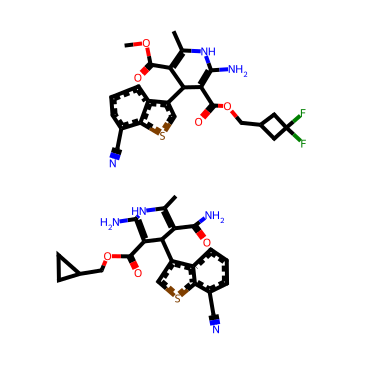 CC1=C(C(N)=O)C(c2csc3c(C#N)cccc23)C(C(=O)OCC2CC2)=C(N)N1.COC(=O)C1=C(C)NC(N)=C(C(=O)OCC2CC(F)(F)C2)C1c1csc2c(C#N)cccc12